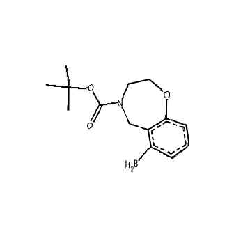 Bc1cccc2c1CN(C(=O)OC(C)(C)C)CCO2